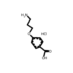 Cl.NCCCOc1ccc(C(=O)O)cc1